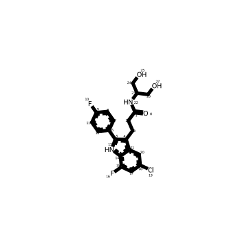 O=C(CCc1c(-c2ccc(F)cc2)[nH]c2c(F)cc(Cl)cc12)NC(CO)CO